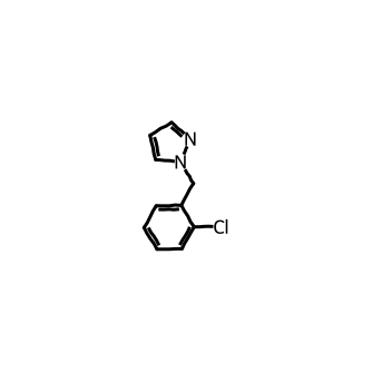 Clc1ccccc1Cn1cccn1